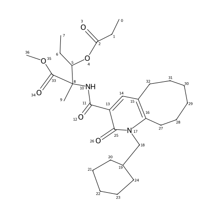 CCC(=O)OC(CC)C(C)(NC(=O)c1cc2c(n(CC3CCCCC3)c1=O)CCCCCC2)C(=O)OC